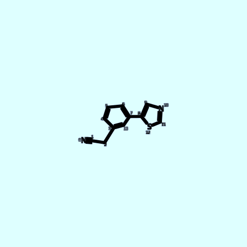 N#CCc1cccc(-c2cncs2)c1